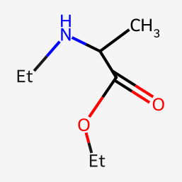 [CH2]CNC(C)C(=O)OCC